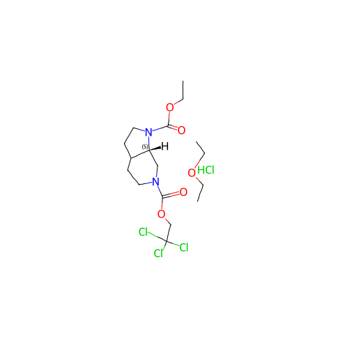 CCOC(=O)N1CCC2CCN(C(=O)OCC(Cl)(Cl)Cl)C[C@H]21.CCOCC.Cl